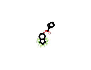 O=C(OC1CCC2(F)C(F)(F)C(F)(F)C(F)(F)C2(F)C1)C1CC2C=CC1C2